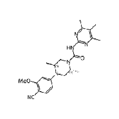 COc1cc(N2C[C@@H](C)N(C(=O)Nc3nc(C)c(C)c(C)n3)C[C@@H]2C)ccc1C#N